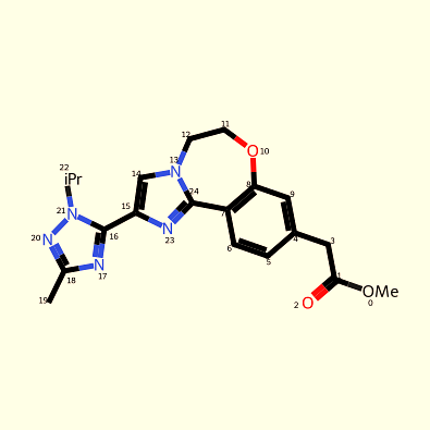 COC(=O)Cc1ccc2c(c1)OCCn1cc(-c3nc(C)nn3C(C)C)nc1-2